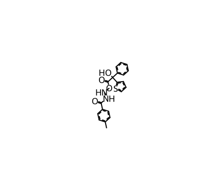 Cc1ccc(C(=O)NNOC(=O)C(O)(c2ccccc2)c2cccs2)cc1